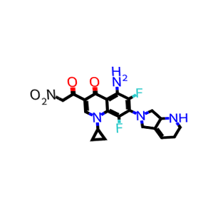 Nc1c(F)c(N2CC3=CCCNC3C2)c(F)c2c1c(=O)c(C(=O)C[N+](=O)[O-])cn2C1CC1